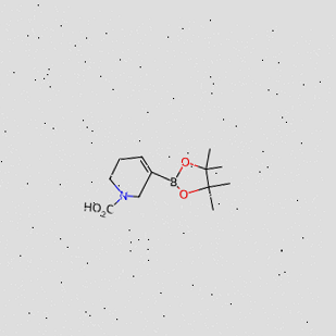 CC1(C)OB(C2=CCCN(C(=O)O)C2)OC1(C)C